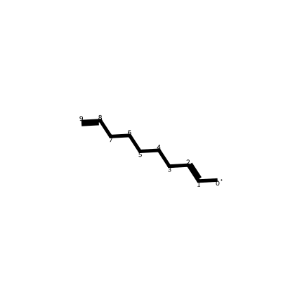 [CH2]C=CCCCCCC=C